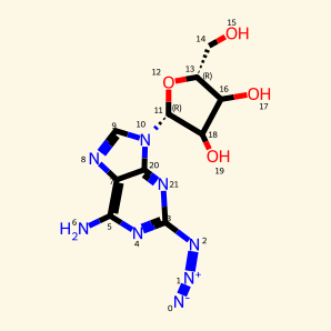 [N-]=[N+]=Nc1nc(N)c2ncn([C@@H]3O[C@H](CO)C(O)C3O)c2n1